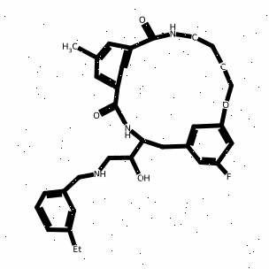 CCc1cccc(CNCC(O)C2Cc3cc(F)cc(c3)OCCCCNC(=O)c3cc(C)cc(c3)C(=O)N2)c1